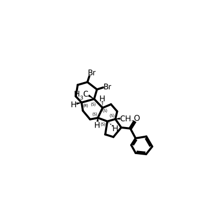 C[C@]12C(Br)C(Br)CC[C@H]1CC[C@@H]1[C@@H]2CC[C@]2(C)C(C(=O)c3ccccc3)CC[C@@H]12